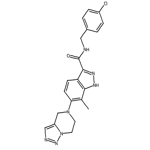 Cc1c(N2CCn3nncc3C2)ccc2c(C(=O)NCc3ccc(Cl)cc3)n[nH]c12